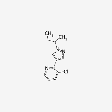 CCC(C)n1cc(-c2ncccc2Cl)cn1